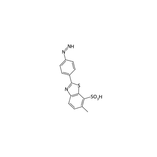 Cc1ccc2nc(-c3ccc(N=N)cc3)sc2c1S(=O)(=O)O